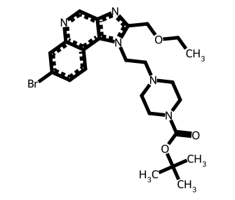 CCOCc1nc2cnc3cc(Br)ccc3c2n1CCN1CCN(C(=O)OC(C)(C)C)CC1